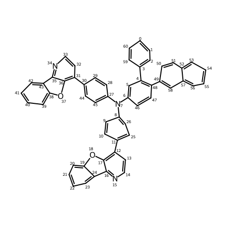 c1ccc(-c2cc(N(c3ccc(-c4ccnc5c4oc4ccccc45)cc3)c3ccc(-c4ccnc5c4oc4ccccc45)cc3)ccc2-c2ccc3ccccc3c2)cc1